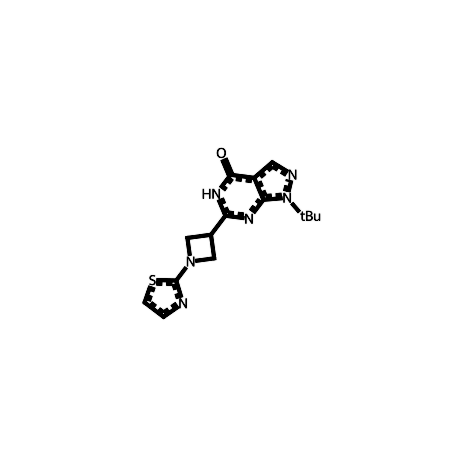 CC(C)(C)n1ncc2c(=O)[nH]c(C3CN(c4nccs4)C3)nc21